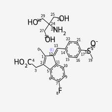 CC1=C(CC(=O)O)c2cc(F)ccc2/C1=C\c1ccc([S+](C)[O-])cc1.NC(CO)(CO)CO